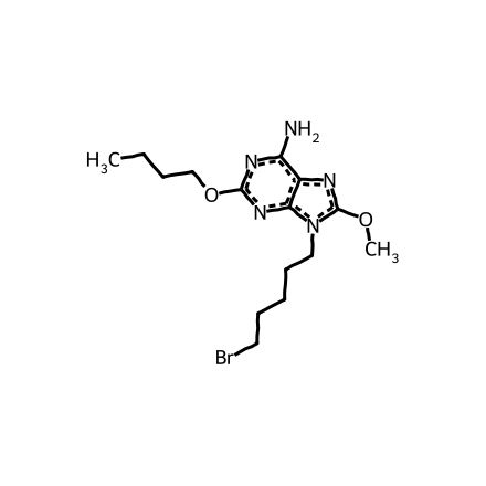 CCCCOc1nc(N)c2nc(OC)n(CCCCCBr)c2n1